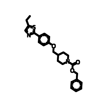 CCc1cnc(-c2ccc(OCC3CCN(C(=O)OCc4ccccc4)CC3)cc2)s1